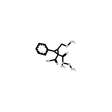 COCC1C(c2ccccc2)C1(C(=O)O)C(=O)N(C)OC